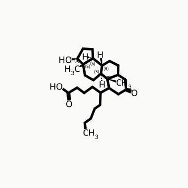 CCCCCC(CCCC(=O)O)C1CC(=O)CC2CC[C@@H]3[C@H](CC[C@]4(C)[C@@H](O)CC[C@@H]34)[C@]21C